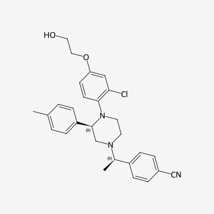 Cc1ccc([C@@H]2CN([C@H](C)c3ccc(C#N)cc3)CCN2c2ccc(OCCO)cc2Cl)cc1